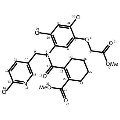 COC(=O)COc1cc(N(Cc2ccc(Cl)nc2)C(=O)C2=C(C(=O)OC)CCCC2)c(Cl)cc1Cl